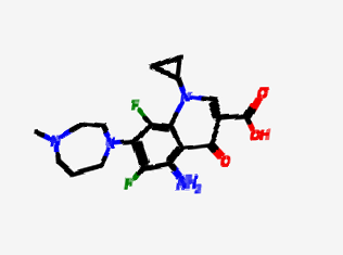 CN1CCCN(c2c(F)c(N)c3c(=O)c(C(=O)O)cn(C4CC4)c3c2F)CC1